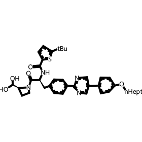 CCCCCCCOc1ccc(-c2cnc(-c3ccc(C[C@H](NC(=O)c4ccc(C(C)(C)C)s4)C(=O)N4CC[C@H]4C(O)O)cc3)nc2)cc1